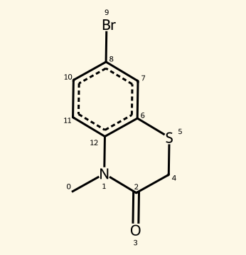 CN1C(=O)CSc2cc(Br)ccc21